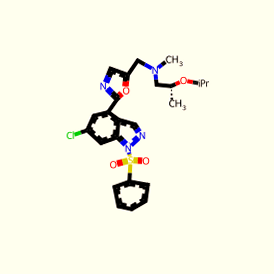 CC(C)O[C@H](C)CN(C)Cc1cnc(-c2cc(Cl)cc3c2cnn3S(=O)(=O)c2ccccc2)o1